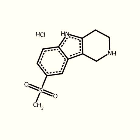 CS(=O)(=O)c1ccc2[nH]c3c(c2c1)CNCC3.Cl